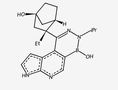 CC[C@@]1(C2=NN(C(C)C)B(O)c3cnc4[nH]ccc4c32)C[C@]2(O)CC[C@H]1C2